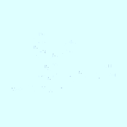 COc1ccc(COC(=O)C2=C(/C=C\c3ccc(C[n+]4ccc(-c5ccc(O)c(O)c5)c(C)c4)cc3)CS[C@@H]3[C@H](NC(=O)/C(=N\OC(C)(C)C(=O)OC(C)(C)C)c4csc(NC(=O)OC(C)(C)C)n4)C(=O)N23)cc1